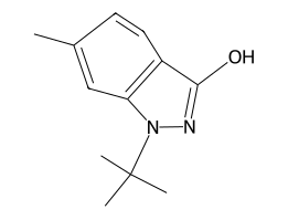 Cc1ccc2c(O)nn(C(C)(C)C)c2c1